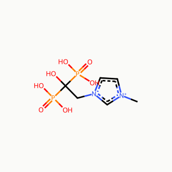 C[n+]1ccn(CC(O)(P(=O)(O)O)P(=O)(O)O)c1